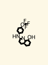 Oc1cccc2ccc(Nc3ccc(OC(F)(F)F)cc3)nc12